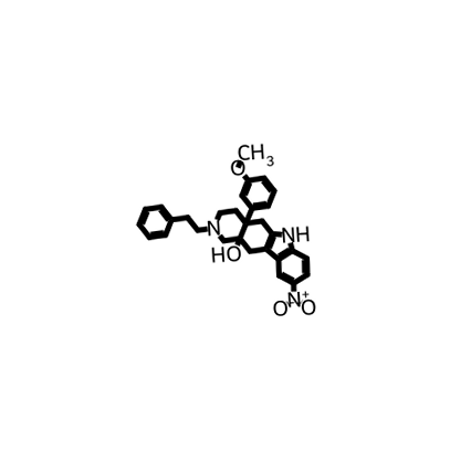 COc1cccc(C23CCN(CCc4ccccc4)CC2(O)Cc2c([nH]c4ccc([N+](=O)[O-])cc24)C3)c1